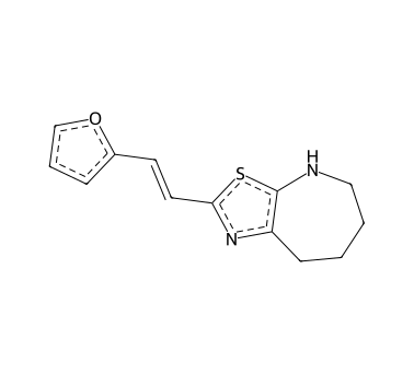 C(=C\c1nc2c(s1)NCCCC2)/c1ccco1